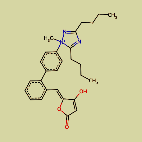 CCCCC1=N[N+](C)(c2ccc(-c3ccccc3/C=C3\OC(=O)C=C3O)cc2)C(CCCC)=N1